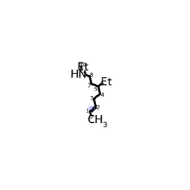 C/C=C/CCC(CC)CCNCC